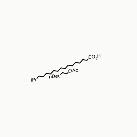 CC(C)CCCCCCCCCCCCCCC(=O)O.CCCCCCCCCCCCOC(C)=O